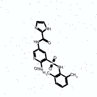 COc1ncc(NC(=O)c2ncc[nH]2)cc1S(=O)(=O)Nc1c(C)cccc1C